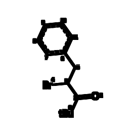 CC(C)(C)C(=O)C(Br)Cc1ccccc1